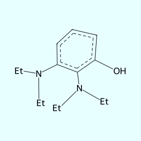 CCN(CC)c1cccc(O)c1N(CC)CC